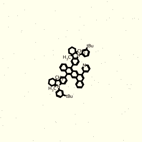 CC(C)(C)c1cccc(N2c3ccc(-c4c5ccccc5c(-c5ccc6c(c5)C5(C)CCCCC5(C)N6c5cccc(C(C)(C)C)c5)c5cc6c(cc45)c(-c4cccnc4)cc4ccccc46)cc3C3(C)CCCCC23C)c1